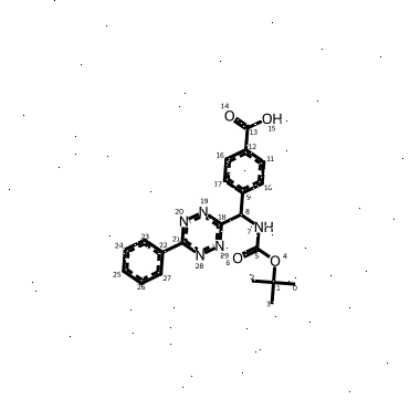 CC(C)(C)OC(=O)NC(c1ccc(C(=O)O)cc1)c1nnc(-c2ccccc2)nn1